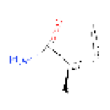 C=C[C@@H](C)C(N)=O